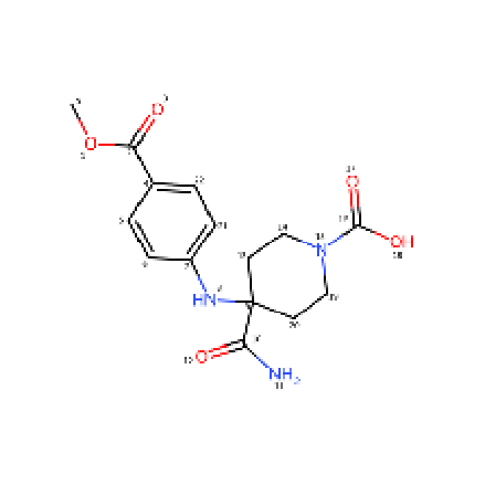 COC(=O)c1ccc(NC2(C(N)=O)CCN(C(=O)O)CC2)cc1